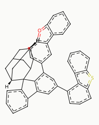 c1ccc2c(c1)-c1cc(-c3cccc4sc5ccccc5c34)cc(-c3ccc4oc5ccccc5c4c3)c1C21C2CC3C[C@H](C2)C[C@H]1C3